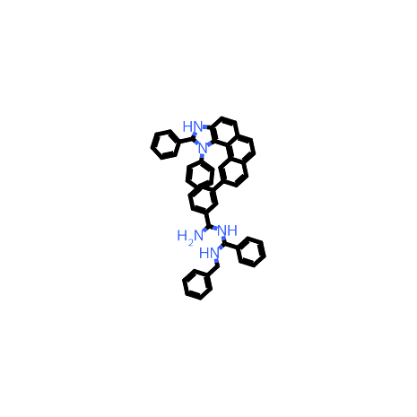 NC(NC(NCc1ccccc1)c1ccccc1)c1cccc(-c2ccc3ccc4ccc5c(c4c3c2)N(c2ccccc2)C(c2ccccc2)N5)c1